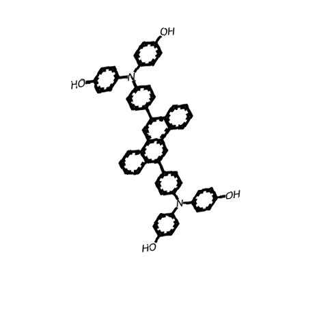 Oc1ccc(N(c2ccc(O)cc2)c2ccc(-c3cc4c5ccccc5c(-c5ccc(N(c6ccc(O)cc6)c6ccc(O)cc6)cc5)cc4c4ccccc34)cc2)cc1